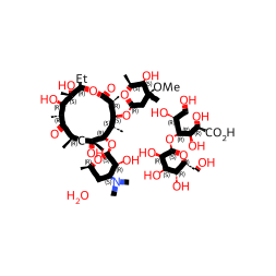 CC[C@H]1OC(=O)[C@H](C)[C@@H](O[C@H]2C[C@@](C)(OC)[C@@H](O)[C@H](C)O2)[C@H](C)[C@@H](O[C@@H]2O[C@H](C)C[C@H](N(C)C)[C@H]2O)[C@](C)(O)C[C@@H](C)C(=O)[C@H](C)[C@@H](O)[C@]1(C)O.O.O=C(O)[C@H](O)[C@@H](O)[C@H](O[C@@H]1O[C@H](CO)[C@H](O)[C@H](O)[C@H]1O)[C@H](O)CO